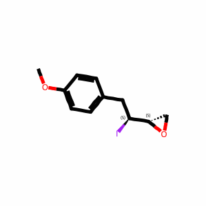 COc1ccc(C[C@H](I)[C@@H]2CO2)cc1